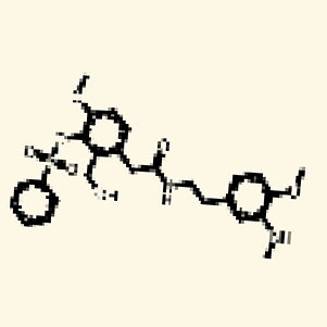 CNc1cc(CCNC(=O)Cc2ccc(OC)c(OS(=O)(=O)c3ccccc3)c2CO)ccc1OC